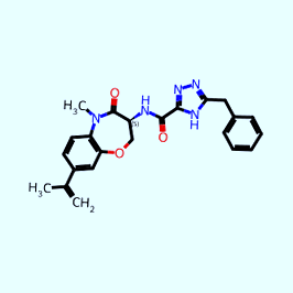 C=C(C)c1ccc2c(c1)OC[C@H](NC(=O)c1nnc(Cc3ccccc3)[nH]1)C(=O)N2C